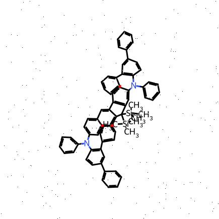 C[Si](C)(C)C1([Si](C)(C)C)c2cc(N(c3ccccc3)c3ccc(-c4ccccc4)cc3-c3ccccc3)ccc2-c2cc3ccc(N(c4ccccc4)c4ccc(-c5ccccc5)cc4-c4ccccc4)cc3cc21